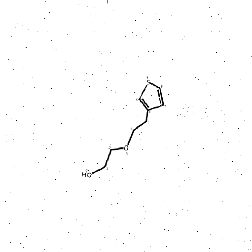 OCCOCCc1ccsc1